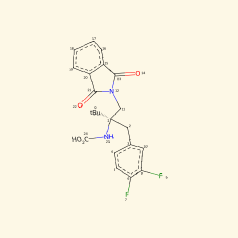 CC(C)(C)[C@@](Cc1ccc(F)c(F)c1)(CN1C(=O)c2ccccc2C1=O)NC(=O)O